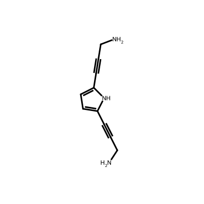 NCC#Cc1ccc(C#CCN)[nH]1